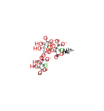 O=C([O-])C(O)C(O)(Cl)C(=O)[O-].O=C([O-])C(O)C(O)(Cl)C(=O)[O-].O=C([O-])C(O)C(O)(Cl)C(=O)[O-].[Al+3].[Al+3]